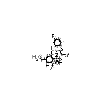 C=Cc1cc(C)c(S(=O)(=O)NC(CSc2ccc(F)cc2)C(C)C)c(C)c1